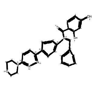 O=C(c1ccc(O)cc1O)N(Cc1ccccc1)c1ccc(-c2ccc(N3CCOCC3)nn2)cc1